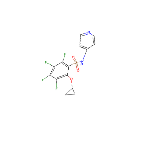 O=S(=O)(Nc1ccncc1)c1c(F)c(F)c(F)c(F)c1OC1CC1